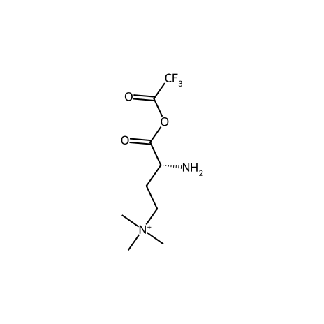 C[N+](C)(C)CC[C@@H](N)C(=O)OC(=O)C(F)(F)F